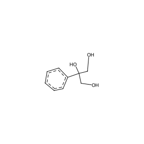 OCC(O)(CO)c1ccccc1